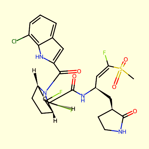 CS(=O)(=O)/C(F)=C\[C@@H](C[C@@H]1CCNC1=O)NC(=O)[C@H]1[C@@H]2CC[C@@H](CC2(F)F)N1C(=O)c1cc2cccc(Cl)c2[nH]1